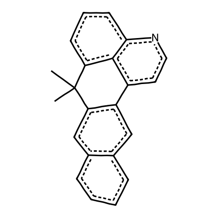 CC1(C)c2cc3ccccc3cc2-c2ccnc3cccc1c23